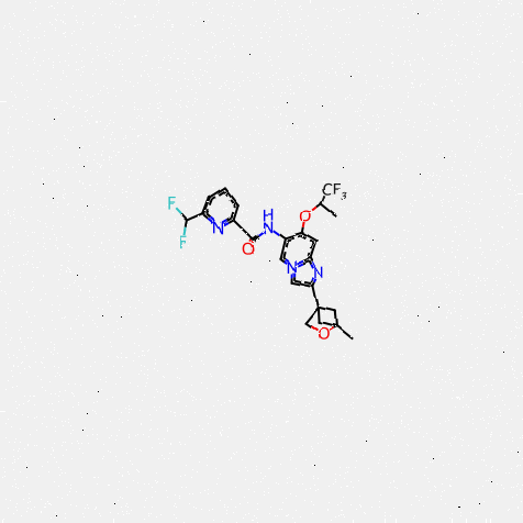 CC(Oc1cc2nc(C34COC(C)(C3)C4)cn2cc1NC(=O)c1cccc(C(F)F)n1)C(F)(F)F